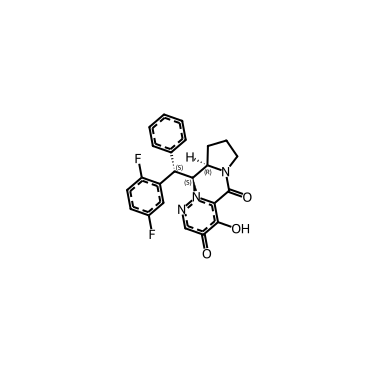 O=C1c2c(O)c(=O)cnn2[C@@H]([C@@H](c2ccccc2)c2cc(F)ccc2F)[C@H]2CCCN12